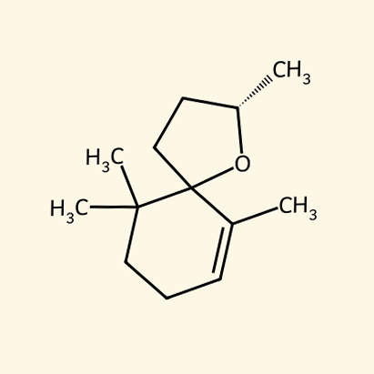 CC1=CCCC(C)(C)C12CC[C@H](C)O2